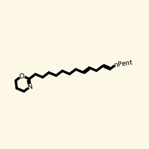 CCCCC/C=C/C/C=C/CCCCCCCC1=NCCCO1